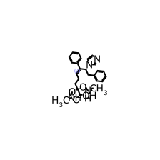 CNOC(CC/C=C(/c1ccccc1)C(Cc1ccccc1)n1ccnc1)(ONC)C(=O)O